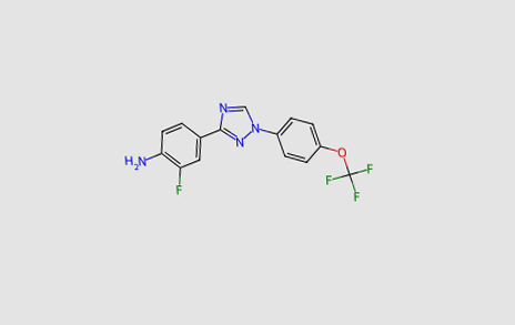 Nc1ccc(-c2ncn(-c3ccc(OC(F)(F)F)cc3)n2)cc1F